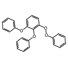 c1ccc(OOc2cccc(Oc3ccccc3)c2Oc2ccccc2)cc1